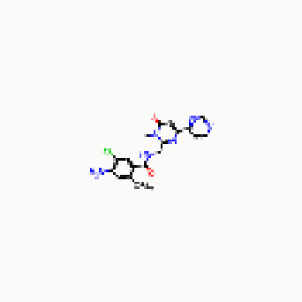 COc1cc(N)c(Cl)cc1C(=O)NCc1nc(-c2ccncn2)cc(=O)n1C